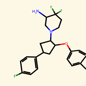 N#Cc1ccc(OC2CC(c3ccc(F)cc3)CC2N2CCC(F)(F)C(N)C2)cc1